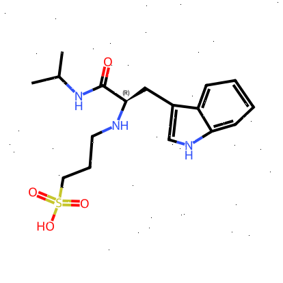 CC(C)NC(=O)[C@@H](Cc1c[nH]c2ccccc12)NCCCS(=O)(=O)O